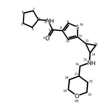 O=C(NC1CCCC1)c1csc(C2CC2NCC2CCOCC2)c1